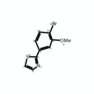 COc1cc(-c2nccs2)ccc1Br